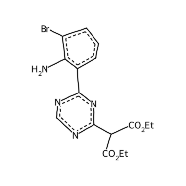 CCOC(=O)C(C(=O)OCC)c1ncnc(-c2cccc(Br)c2N)n1